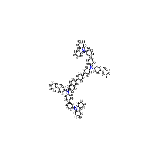 c1ccc(-c2ccc(N(c3ccc(-c4ccc(-c5ccc6cc(N(c7ccc(-c8ccccc8)cc7)c7ccc(-c8cccc(-n9c%10ccccc%10c%10ccccc%109)c8)cc7)ccc6c5)cc4)cc3)c3ccc(-c4cccc(-n5c6ccccc6c6ccccc65)c4)cc3)cc2)cc1